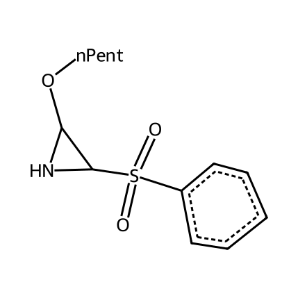 CCCCCOC1NC1S(=O)(=O)c1ccccc1